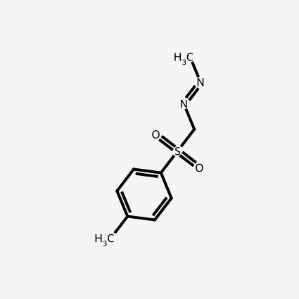 CN=NCS(=O)(=O)c1ccc(C)cc1